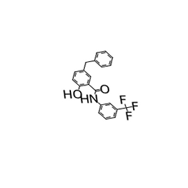 O=C(Nc1cccc(C(F)(F)F)c1)c1cc(Cc2ccccc2)ccc1O